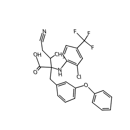 CC(CC#N)C(Cc1cccc(Oc2ccccc2)c1)(Nc1ccc(C(F)(F)F)cc1Cl)C(=O)O